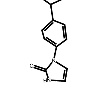 CC(C)c1ccc(-n2cc[nH]c2=O)cc1